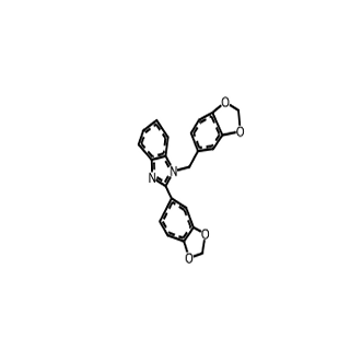 c1ccc2c(c1)nc(-c1ccc3c(c1)OCO3)n2Cc1ccc2c(c1)OCO2